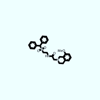 COc1cccc2c1CN(CC(=O)NCCS(=O)(=O)C(c1ccccc1)c1ccccc1)CC2